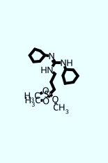 CO[Si](CCCN/C(=N\C1CCCCC1)NC1CCCCC1)(OC)OC